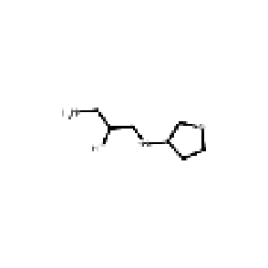 NCC(O)CNC1CC[N]C1